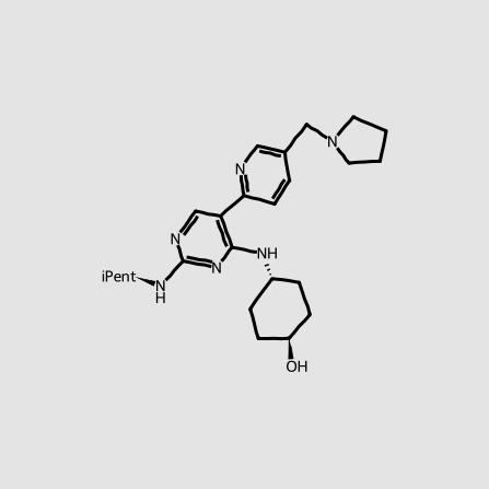 CCC[C@H](C)Nc1ncc(-c2ccc(CN3CCCC3)cn2)c(N[C@H]2CC[C@H](O)CC2)n1